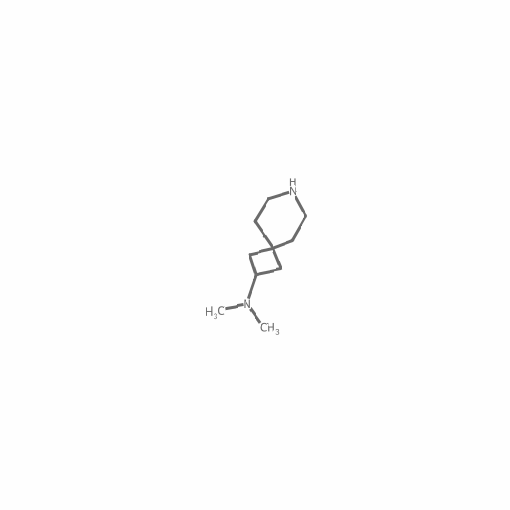 CN(C)C1CC2(CCNCC2)C1